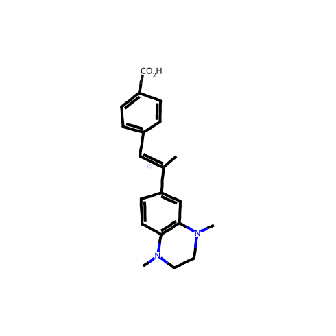 C/C(=C\c1ccc(C(=O)O)cc1)c1ccc2c(c1)N(C)CCN2C